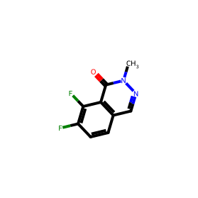 Cn1ncc2ccc(F)c(F)c2c1=O